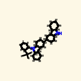 CC(C)(C)c1ccccc1-n1c2ccccc2c2cc(-c3ccc4[nH]c5ccccc5c4c3)ccc21